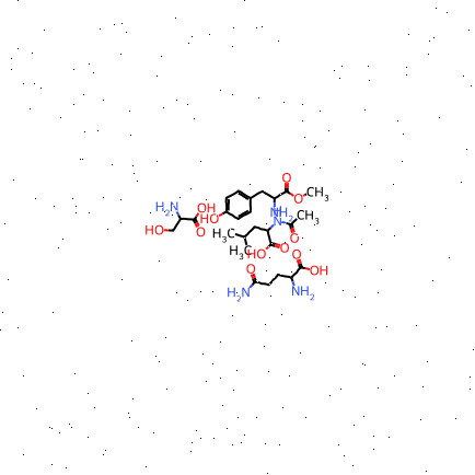 CC(=O)NC(CC(C)C)C(=O)O.COC(=O)C(N)Cc1ccc(O)cc1.NC(=O)CCC(N)C(=O)O.NC(CO)C(=O)O